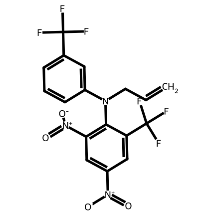 C=CCN(c1cccc(C(F)(F)F)c1)c1c([N+](=O)[O-])cc([N+](=O)[O-])cc1C(F)(F)F